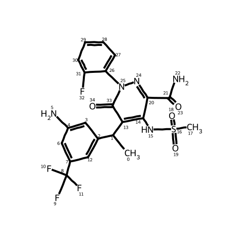 CC(c1cc(N)cc(C(F)(F)F)c1)c1c(NS(C)(=O)=O)c(C(N)=O)nn(-c2ccccc2F)c1=O